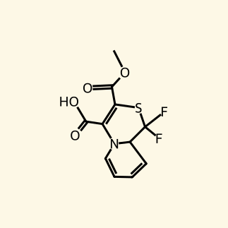 COC(=O)C1=C(C(=O)O)N2C=CC=CC2C(F)(F)S1